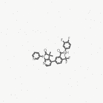 CC1(C)C(=O)N(c2cccnc2)c2nccc(-c3ccc(C(F)(F)F)c(C(=O)Nc4ccc(F)c(F)c4)c3)c21